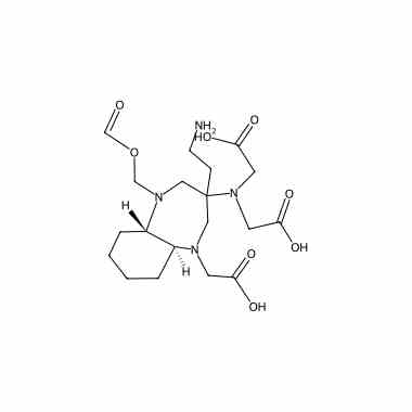 NCCC1(N(CC(=O)O)CC(=O)O)CN(COC=O)[C@H]2CCCC[C@@H]2N(CC(=O)O)C1